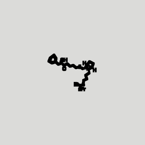 CCCC(CC)SCCCC[C@H]1[C@@H](CSCCCCC(=O)N(O)Cc2ccccc2)[C@H]2CC[C@@H]1O2